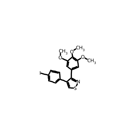 COc1cc(-c2nscc2-c2ccc(I)cc2)cc(OC)c1OC